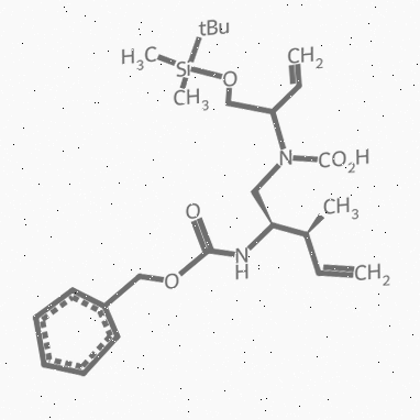 C=CC(CO[Si](C)(C)C(C)(C)C)N(C[C@H](NC(=O)OCc1ccccc1)[C@@H](C)C=C)C(=O)O